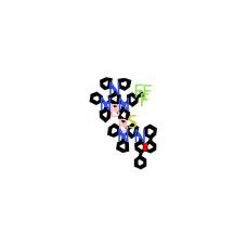 FC(F)(F)c1ccc(N2c3cc4c(cc3B3c5ccccc5N(c5ccccc5)c5cc(N(c6ccccc6)c6ccccc6)cc2c53)B2c3ccccc3N(c3ccccc3)c3cc(N(c5ccc(-c6ccccc6)cc5)c5ccccc5-c5ccccc5)cc(c32)S4)cc1